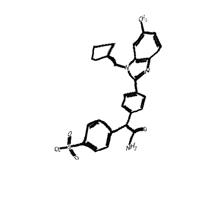 CCS(=O)(=O)c1ccc(C(C(N)=O)c2ccc(-c3nc4ccc(C)cc4n3CC3CCC3)cc2)cc1